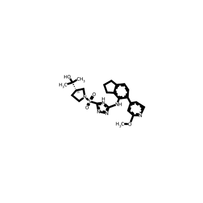 COc1cc(-c2ccc3c(c2Nc2nnc(S(=O)(=O)N4CC[C@H](C(C)(C)O)C4)[nH]2)CCC3)ccn1